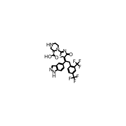 O=C1N=C(N2CCNC[C@@H]2C(=O)O)SC1=C(Cc1ccc(C(F)(F)F)cc1C(F)(F)F)c1ccc2[nH]ncc2c1